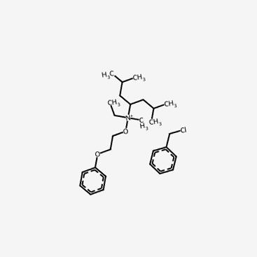 CC[N+](C)(OCCOc1ccccc1)C(CC(C)C)CC(C)C.ClCc1ccccc1